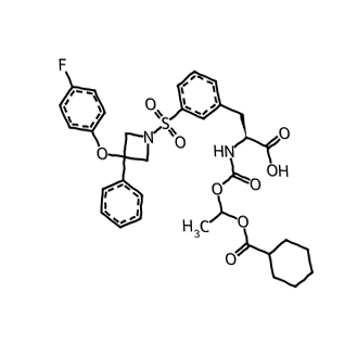 CC(OC(=O)N[C@@H](Cc1cccc(S(=O)(=O)N2CC(Oc3ccc(F)cc3)(c3ccccc3)C2)c1)C(=O)O)OC(=O)C1CCCCC1